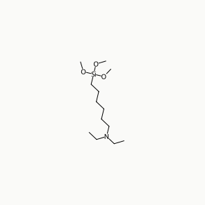 CCN(CC)CCCCCC[Si](OC)(OC)OC